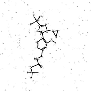 COc1cc(CNC(=O)OC(C)(C)C)ccc1-c1nc(C(F)(F)F)cn1C1CC1